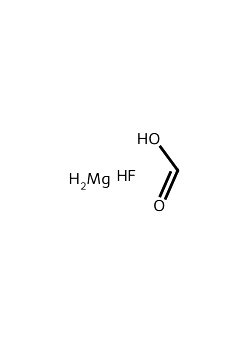 F.O=CO.[MgH2]